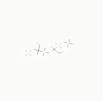 CCC(C)(O[Si](C)(C)C)[Si](C)(C)OC(C)(CC)[Si](C)(C)O[Si](C)(C)C